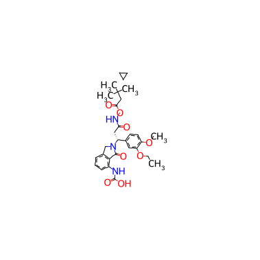 C1CC1.CCOc1cc([C@@H](CC(=O)NOC(=O)CC(C)(C)C)N2Cc3cccc(NC(=O)O)c3C2=O)ccc1OC